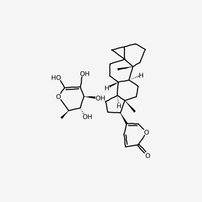 C[C@H]1OC(O)=C(O)[C@@H](O)[C@@H]1O.C[C@]12CC[C@H]3[C@@H](CCC45CC4CCC[C@]35C)[C@@H]1CC[C@@H]2c1ccc(=O)oc1